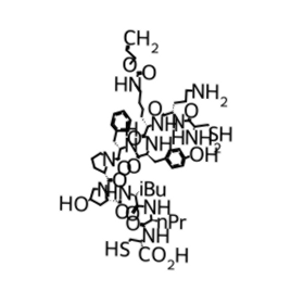 C=CCOC(=O)NCCCC[C@H](NC(=O)[C@H](CCCN)NC(=O)[C@@H](N)CS)C(=O)N[C@@H](Cc1ccc(O)cc1)C(=O)N[C@@H](Cc1ccccc1)C(=O)N1CCC[C@H]1C(=O)N1C[C@H](O)C[C@H]1C(=O)N[C@H](C(=O)N[C@@H](CCC)C(=O)N[C@@H](CS)C(=O)O)[C@@H](C)CC